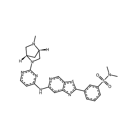 CN1C[C@@H]2C[C@H]1CN2c1nccc(Nc2cc3nc(-c4cccc(S(=O)(=O)N(C)C)c4)sc3cn2)n1